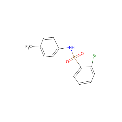 O=S(=O)(Nc1ccc(C(F)(F)F)cc1)c1ccccc1Br